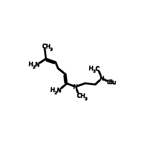 C/C(N)=C/C/C=C(\N)N(C)CCN(C)C(C)(C)C